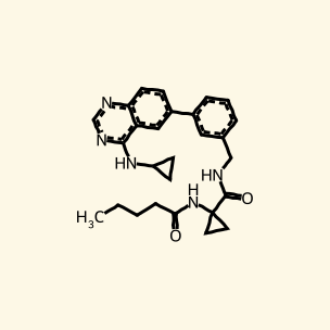 CCCCC(=O)NC1(C(=O)NCc2cccc(-c3ccc4ncnc(NC5CC5)c4c3)c2)CC1